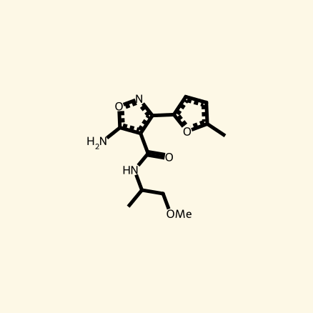 COCC(C)NC(=O)c1c(-c2ccc(C)o2)noc1N